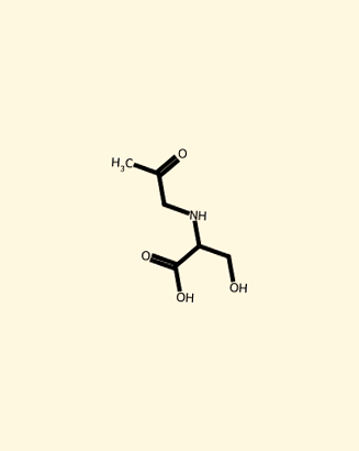 CC(=O)CNC(CO)C(=O)O